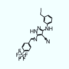 N#Cc1c(Nc2cccc(CI)c2)n[nH]c1/N=C/c1ccc(S(F)(F)(F)(F)F)cc1